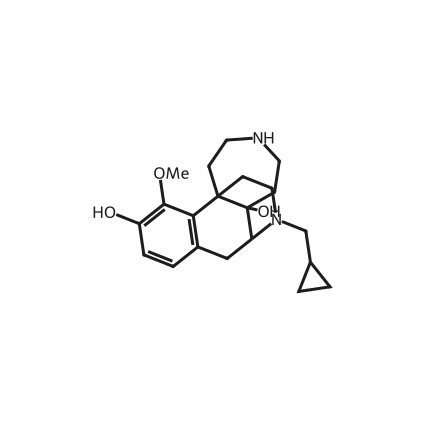 COc1c(O)ccc2c1C13CCNCCC1(O)C(C2)N(CC1CC1)CC3